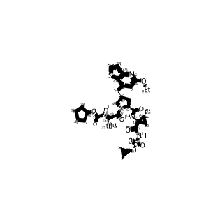 CCOc1cc(C[C@@H]2C[C@@H](C(=O)N[C@]3(C(=O)NS(=O)(=O)OC4CC4)C[C@H]3CC)N(C(=O)[C@@H](NC(=O)OC3CCCC3)C(C)(C)C)C2)c2sccc2n1